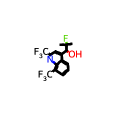 CC(C)(F)C(O)c1cc(C(F)(F)F)nc2c(C(F)(F)F)cccc12